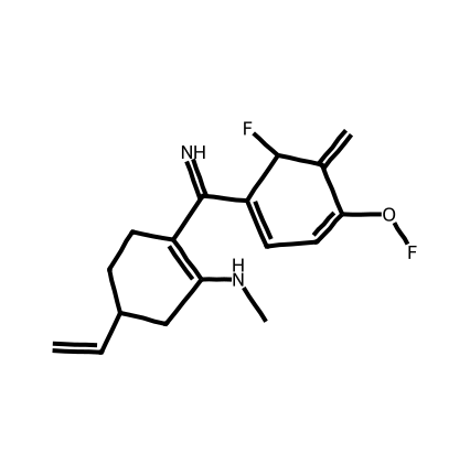 C=CC1CCC(C(=N)C2=CC=C(OF)C(=C)C2F)=C(NC)C1